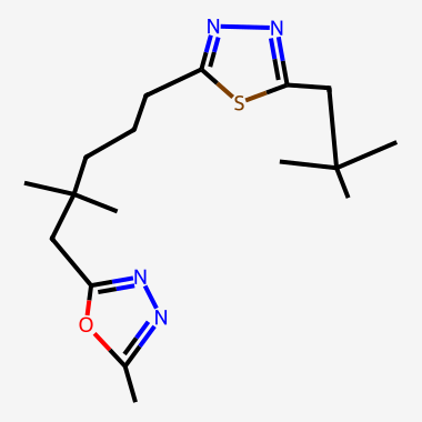 Cc1nnc(CC(C)(C)CCCc2nnc(CC(C)(C)C)s2)o1